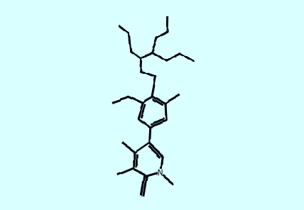 C=C1C(C)=C(C)C(c2cc(C)c(CCC(CCC)C(CCC)CCC)c(CC)c2)=CN1C